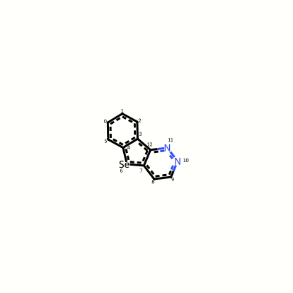 c1ccc2c(c1)[se]c1ccnnc12